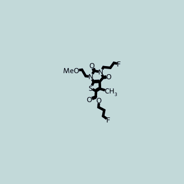 COCCn1c(=O)n(CCCF)c(=O)c2c(C)c(C(=O)OCCCF)sc21